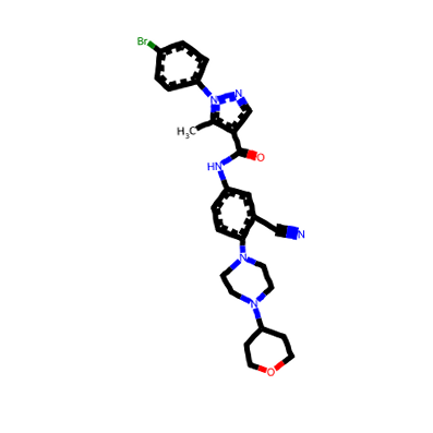 Cc1c(C(=O)Nc2ccc(N3CCN(C4CCOCC4)CC3)c(C#N)c2)cnn1-c1ccc(Br)cc1